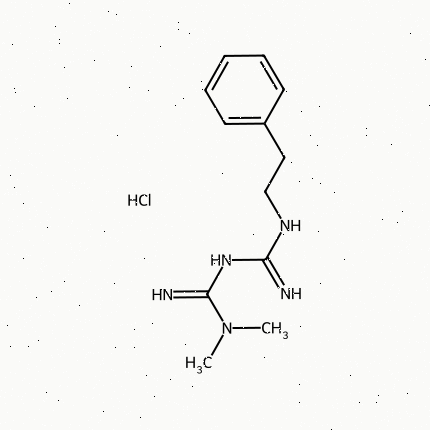 CN(C)C(=N)NC(=N)NCCc1ccccc1.Cl